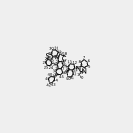 CCc1nc2ccccc2n1-c1ccc(-c2c3ccccc3c(-c3cccc4sc5ccccc5c34)c3cc(-c4ccccc4)ccc23)c2ccccc12